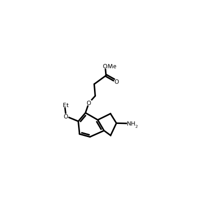 CCOc1ccc2c(c1OCCC(=O)OC)CC(N)C2